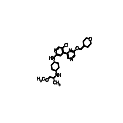 COC[C@@H](C)N[C@H]1CC[C@H](Nc2cc(-c3cncc(OCC4CCOCC4)n3)c(Cl)cn2)CC1